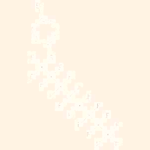 FC(F)(F)C(F)(F)C(F)(F)C(F)(F)C(F)(F)C(F)(F)C(F)(F)C(F)(F)Sc1ccc(Br)cc1